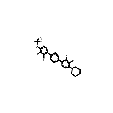 Fc1c(OC(F)(F)C(F)(F)F)ccc(-c2ccc(-c3ccc(C4CCCCC4)c(F)c3F)cc2)c1F